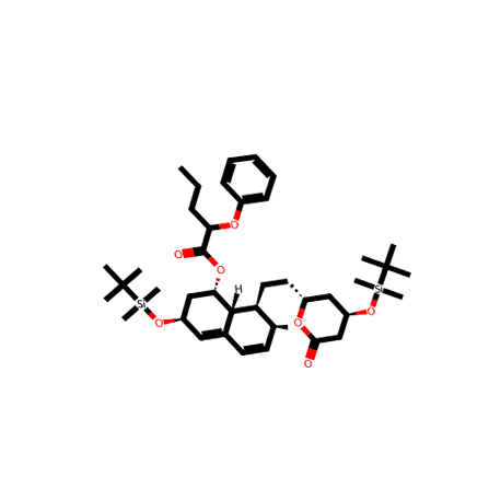 CCCC(Oc1ccccc1)C(=O)O[C@H]1C[C@H](O[Si](C)(C)C(C)(C)C)C=C2C=C[C@H](C)[C@H](CC[C@@H]3C[C@@H](O[Si](C)(C)C(C)(C)C)CC(=O)O3)[C@H]21